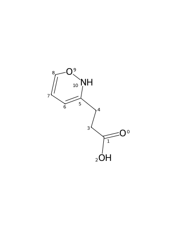 O=C(O)CCC1=CC=CON1